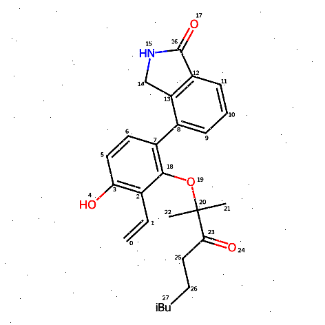 C=Cc1c(O)ccc(-c2cccc3c2CNC3=O)c1OC(C)(C)C(=O)CCC(C)CC